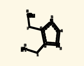 CC(C)Cc1ncsc1CC(C)(C)C